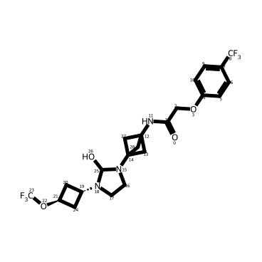 O=C(COc1ccc(C(F)(F)F)cc1)NC12CC(N3CCN([C@H]4C[C@H](OC(F)(F)F)C4)C3O)(C1)C2